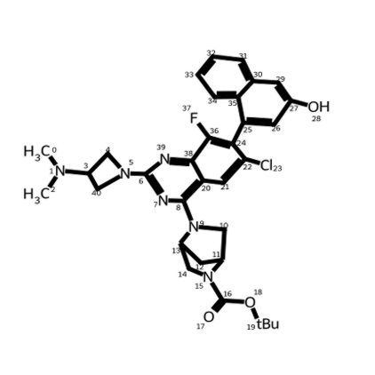 CN(C)C1CN(c2nc(N3CC4CC3CN4C(=O)OC(C)(C)C)c3cc(Cl)c(-c4cc(O)cc5ccccc45)c(F)c3n2)C1